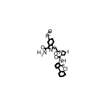 NC(=O)c1nn(CC(=O)N2C[C@H](I)C[C@H]2C(=O)Nc2cccc(-c3ccccc3Cl)c2F)c2ccc(N=C=O)cc12